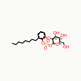 CCCCCCCCc1ccccc1OS(=O)(=O)O[C@@H]1O[C@H](CO)[C@@H](O)[C@H](O)[C@@H]1O